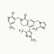 Cc1cnc(Cl)c(CN2CCc3c(cc(Cn4ccnc4C)cc3-c3cn(C)nc3C(F)(F)F)C2=O)c1